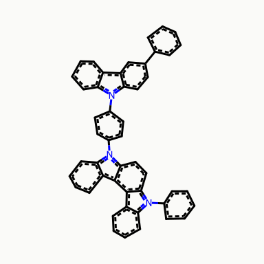 c1ccc(-c2ccc3c(c2)c2ccccc2n3-c2ccc(-n3c4ccccc4c4c5c6ccccc6n(-c6ccccc6)c5ccc43)cc2)cc1